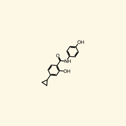 O=C(Nc1ccc(O)cc1)c1ccc(C2CC2)cc1O